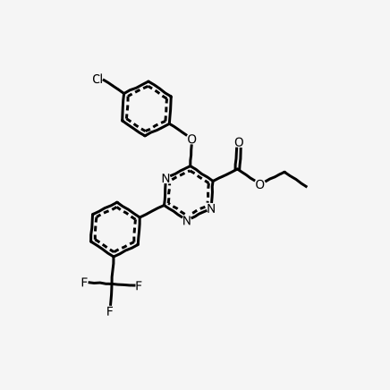 CCOC(=O)c1nnc(-c2cccc(C(F)(F)F)c2)nc1Oc1ccc(Cl)cc1